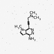 CN(C)CC#Cc1nnc(N)c2ccn(C)c12